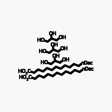 CCCCCCCCCCCCCCCCCCCCCC(=O)O.CCCCCCCCCCCCCCCCCCCCCC(=O)O.OCC(O)CO.OCC(O)CO.OCC(O)CO